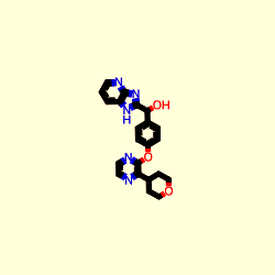 OC(c1ccc(Oc2nccnc2C2CCOCC2)cc1)c1nc2ncccc2[nH]1